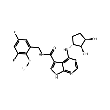 COc1c(F)cc(F)cc1CNC(=O)c1n[nH]c2ncnc(N[C@@H]3CC[C@@H](O)[C@H]3O)c12